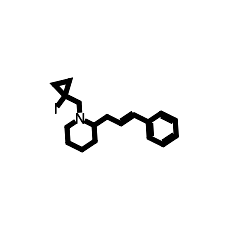 IC1(CN2CCCCC2CC=Cc2ccccc2)CC1